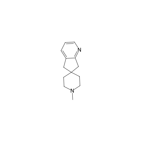 CN1CCC2(CC1)Cc1cccnc1C2